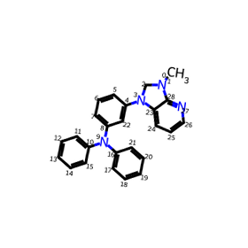 CN1CN(c2cccc(N(c3ccccc3)c3ccccc3)c2)c2cccnc21